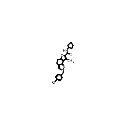 Cc1c(C(=O)NC2CCCC2)oc2c1-c1nn(Cc3ccc(Cl)cc3)cc1CC2